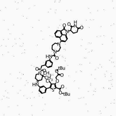 CC(C)(C)OC(=O)COc1c(C(=O)OC(C)(C)C)sc(-c2cccc(N[C@H]3CCN(S(=O)(=O)Cc4cccc(NC(=O)N5CCCN(c6ccc7c8c(cccc68)C(=O)N7C6CCC(=O)NC6=O)CC5)c4)C(C)(C)C3)c2)c1Cl